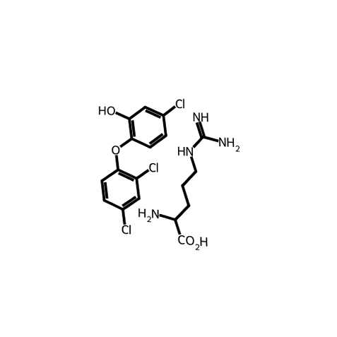 N=C(N)NCCCC(N)C(=O)O.Oc1cc(Cl)ccc1Oc1ccc(Cl)cc1Cl